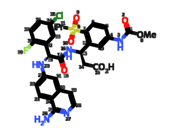 COC(=O)Nc1ccc(S(=O)(=O)C(C)C)c([C@@H](CC(=O)O)NC(=O)[C@H](Nc2ccc3c(N)nccc3c2)c2cc(Cl)ccc2F)c1